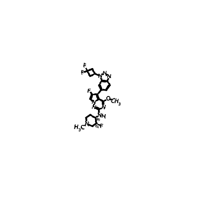 COc1nc(N[C@@H]2CCN(C)C[C@@H]2F)nn2cc(F)c(-c3ccc4nnn(C5CC(F)(F)C5)c4c3)c12